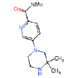 CNC(=O)c1ccc(N2CCNC(C)(C)C2)cn1